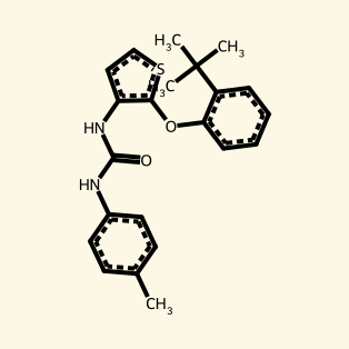 Cc1ccc(NC(=O)Nc2ccsc2Oc2ccccc2C(C)(C)C)cc1